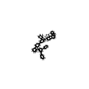 CC1(C)c2cc(-n3c4ccccc4c4cc(-c5ccc6c7ccccc7n(-c7cc(-c8ccccc8)cc(-c8ccccc8)c7)c6c5)ccc43)ccc2-c2ccc3oc4ccccc4c3c21